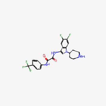 O=C(Nc1ccc(C(F)(F)F)cc1)C(=O)Nc1cn(C2CCNCC2)c2cc(F)c(F)cc12